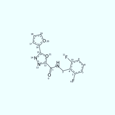 O=C(NCc1c(F)cccc1F)c1nnc(-c2ccco2)o1